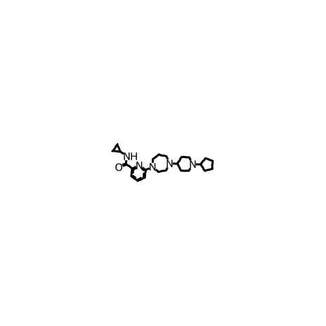 O=C(NC1CC1)c1cccc(N2CCCN(C3CCN(C4CCCC4)CC3)CC2)n1